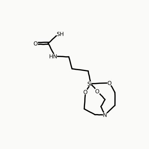 O=C(S)NCCC[Si]12OCCN(CCO1)CCO2